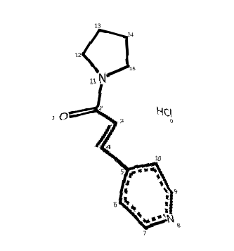 Cl.O=C(/C=C/c1ccncc1)N1CCCC1